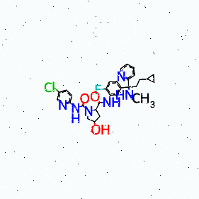 CNC(CCC1CC1)(c1ccc(F)c(NC(=O)[C@H]2C[C@@H](O)CN2C(=O)Nc2ccc(Cl)cn2)c1)c1ccccn1